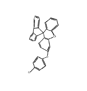 Clc1ccc(Oc2ccc3c(c2)Oc2ccccc2C32c3ccccc3-c3ccccc32)cc1